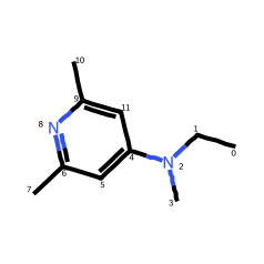 CCN(C)c1cc(C)nc(C)c1